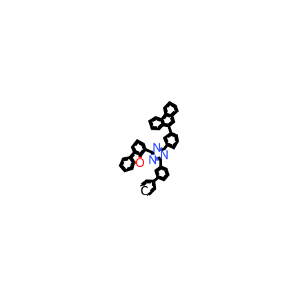 c1ccc(-c2cccc(-c3nc(-c4cccc(-c5cc6ccccc6c6ccccc56)c4)nc(-c4cccc5c4oc4ccccc45)n3)c2)cc1